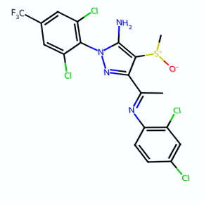 CC(=Nc1ccc(Cl)cc1Cl)c1nn(-c2c(Cl)cc(C(F)(F)F)cc2Cl)c(N)c1[S+](C)[O-]